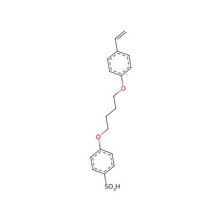 C=Cc1ccc(OCCCCOc2ccc(S(=O)(=O)O)cc2)cc1